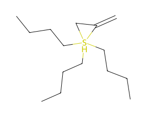 C=C1C[SH]1(CCCC)(CCCC)CCCC